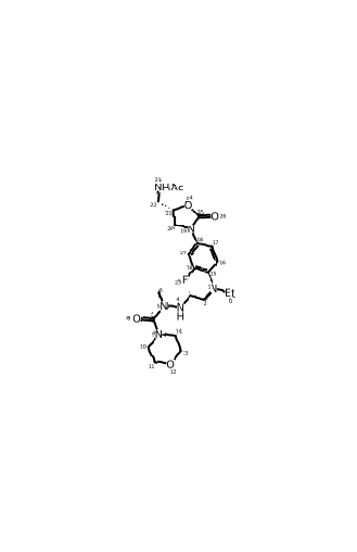 CCN(CCNN(C)C(=O)N1CCOCC1)c1ccc(N2C[C@H](CNC(C)=O)OC2=O)cc1F